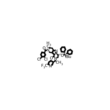 C[C@@H]1Cc2nn3c(c2CN1C(=O)c1ccc(Cl)c(Cl)c1)C(=O)N([C@@H](C)c1ccc(C(F)(F)F)nc1)C[C@H]3CO[Si](c1ccccc1)(c1ccccc1)C(C)(C)C